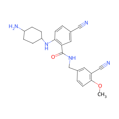 COc1ccc(CNC(=O)c2cc(C#N)ccc2NC2CCC(N)CC2)cc1C#N